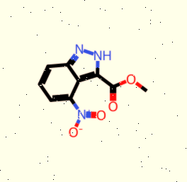 COC(=O)c1[nH]nc2cccc([N+](=O)[O-])c12